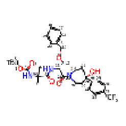 CC(C)(C)OC(=O)NC(C)(C)C(=O)N[C@H](COCc1ccccc1)C(=O)N1CCC(O)(c2ccc(C(F)(F)F)cc2)CC1